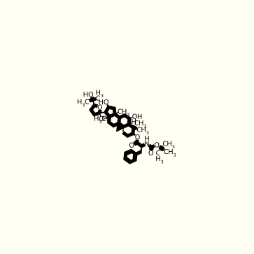 CC(C)(C)OC(=O)N[C@@H](Cc1ccccc1)C(=O)O[C@H]1CC[C@]23CC24CC[C@]2(C)[C@@H]([C@@]5(C)CC[C@@H](C(C)(C)O)O5)[C@@H](O)C[C@@]2(C)C4C[C@H](O)[C@H]3C1(C)C